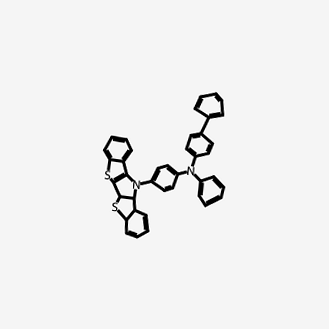 C1=CC2SC3c4sc5ccccc5c4N(c4ccc(N(c5ccccc5)c5ccc(-c6ccccc6)cc5)cc4)C3C2C=C1